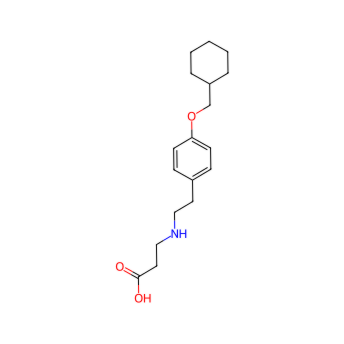 O=C(O)CCNCCc1ccc(OCC2CCCCC2)cc1